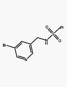 CC(C)S(=O)(=O)NCc1cncc(Br)c1